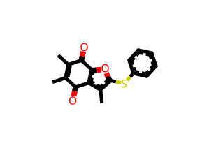 CC1=C(C)C(=O)c2c(oc(Sc3ccccc3)c2C)C1=O